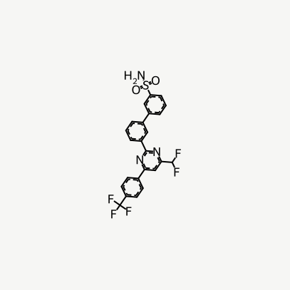 NS(=O)(=O)c1cccc(-c2cccc(-c3nc(-c4ccc(C(F)(F)F)cc4)cc(C(F)F)n3)c2)c1